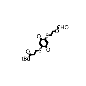 CC(C)(C)C(=O)CCSC1=CC(=O)C(SCCOC=O)=CC1=O